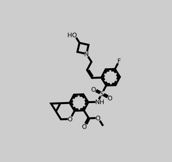 COC(=O)c1c(NS(=O)(=O)c2ccc(F)cc2/C=C\CN2CC(O)C2)ccc2c1OCC1CC21